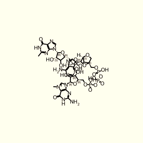 Cc1nc2c(ncn2[C@@H]2O[C@H](COP(=O)(O)OC3[C@@H]4OC[C@]3(COP(=O)(O)OP(=O)(O)OP(=O)(O)OC[C@H]3O[C@@H](n5c[n+](C)c6c(=O)[nH]c(N)nc65)C(O)[C@H]3O)O[C@H]4n3cnc4c(N)ncnc43)C(O)[C@@H]2O)c(=O)[nH]1